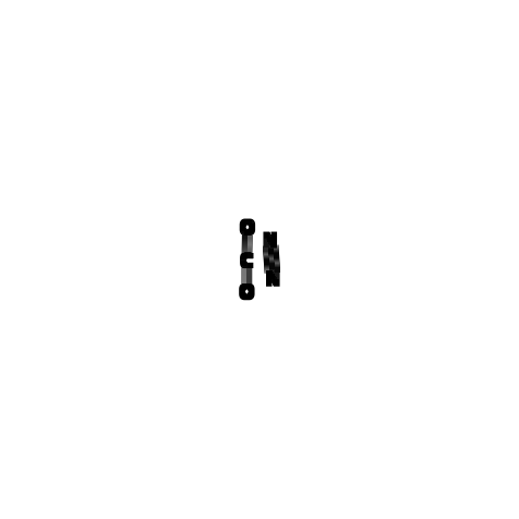 N#N.O=C=O